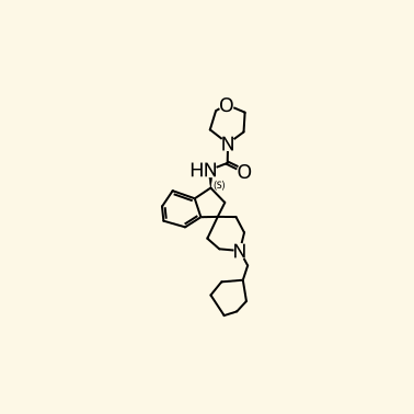 O=C(N[C@H]1CC2(CCN(CC3CCCCC3)CC2)c2ccccc21)N1CCOCC1